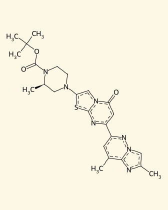 Cc1cn2nc(-c3cc(=O)n4cc(N5CCN(C(=O)OC(C)(C)C)[C@H](C)C5)sc4n3)cc(C)c2n1